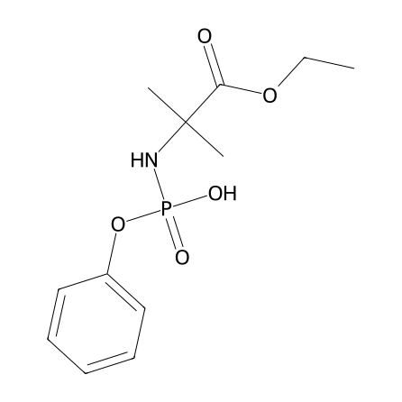 CCOC(=O)C(C)(C)NP(=O)(O)Oc1ccccc1